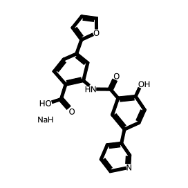 O=C(Nc1cc(-c2ccco2)ccc1C(=O)O)c1cc(-c2cccnc2)ccc1O.[NaH]